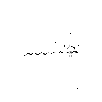 C=C(CP)NCCCCCCCCCCCCCC